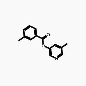 Cc1cncc(OC(=O)c2cccc(C)c2)c1